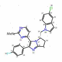 CNc1nccc(-c2c(-c3ccc(F)cc3)nc3n2[C@H](Cn2ccc4cc(Cl)ccc42)CC3)n1